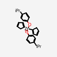 CC(C)c1ccc([O][Zr]([O]c2ccc(C(C)C)cc2)([C]2=CC=CC2)[C]2=CC=CC2)cc1